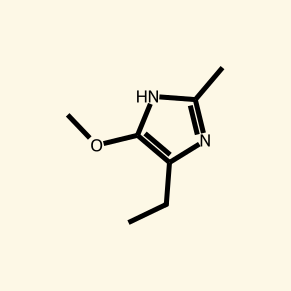 CCc1nc(C)[nH]c1OC